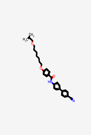 C=C(C)COCCCCCCCOc1ccc(C(=O)Nc2ccc(-c3ccc(C#N)cc3)cc2)cc1